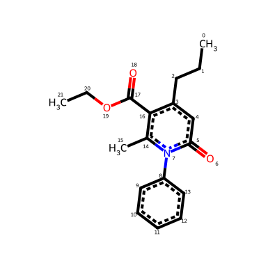 CCCc1cc(=O)n(-c2ccccc2)c(C)c1C(=O)OCC